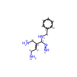 N=NC(NCc1ccccc1)/C(=C/CN)CN